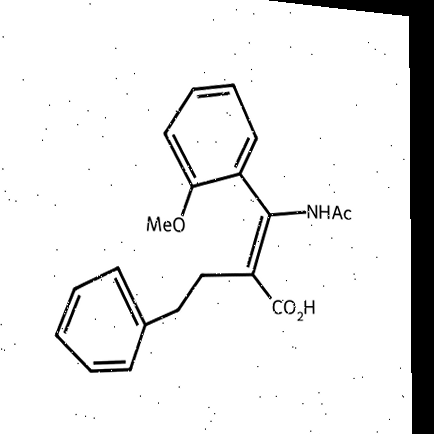 COc1ccccc1C(NC(C)=O)=C(CCc1ccccc1)C(=O)O